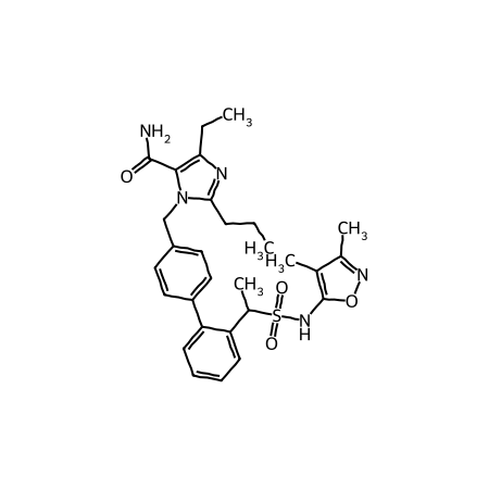 CCCc1nc(CC)c(C(N)=O)n1Cc1ccc(-c2ccccc2C(C)S(=O)(=O)Nc2onc(C)c2C)cc1